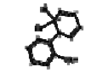 O=C(O)c1ccccc1N1C=CC=CC1(S)S